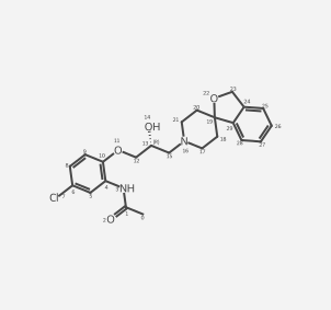 CC(=O)Nc1cc(Cl)ccc1OC[C@H](O)CN1CCC2(CC1)OCc1ccccc12